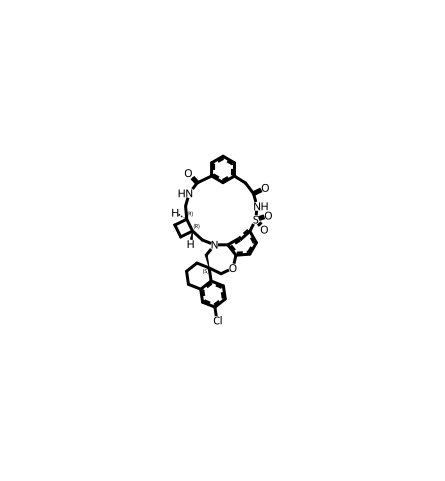 O=C1Cc2cccc(c2)C(=O)NC[C@@H]2CC[C@H]2CN2C[C@@]3(CCCc4cc(Cl)ccc43)COc3ccc(cc32)S(=O)(=O)N1